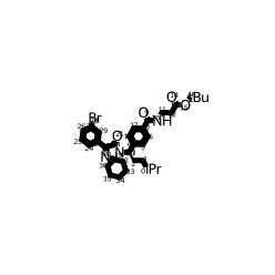 CC(C)CC[C@H](c1ccc(C(=O)NCCC(=O)OC(C)(C)C)cc1)N1C(=O)C(c2cccc(Br)c2)=NC12CCCCC2